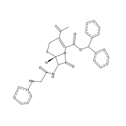 C=C(C)C1=C(C(=O)OC(c2ccccc2)c2ccccc2)N2C(=O)C(NC(=O)CNc3ccccc3)[C@@H]2SC1